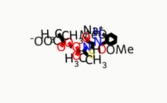 COc1cccc(OC)c1C(=O)N[C@@H]1C(=O)N2[C@@H]1SC(C)(C)[C@@H]2C(=O)OCOC(=O)C(C)(C)C(=O)[O-].[Na+]